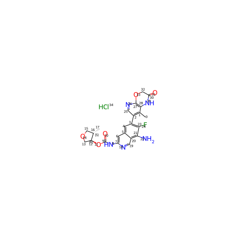 Cc1c(-c2cc3cc(NC(=O)O[C@H]4COC[C@@H]4C)ncc3c(N)c2F)cnc2c1NC(=O)CO2.Cl